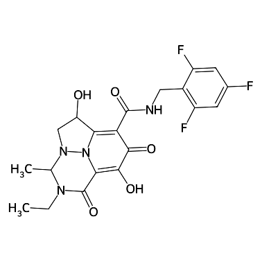 CCN1C(=O)c2c(O)c(=O)c(C(=O)NCc3c(F)cc(F)cc3F)c3n2N(CC3O)C1C